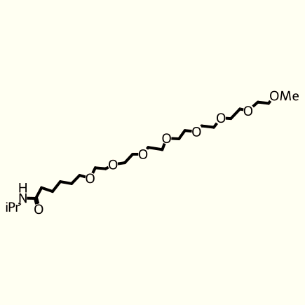 COCCOCCOCCOCCOCCOCCOCCOCCCCCC(=O)NC(C)C